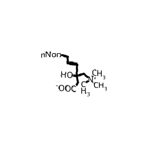 CCCCCCCCCCC=CC(O)(CC(=O)[O-])C[N+](C)(C)C